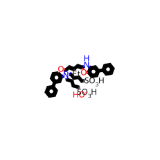 CCC(=CC1Oc2ccc(-c3ccccc3)cc2[N+]1(CCCCS(=O)(=O)O)CCCCS(=O)(=O)O)C=C1Nc2cc(-c3ccccc3)ccc2O1.[OH-]